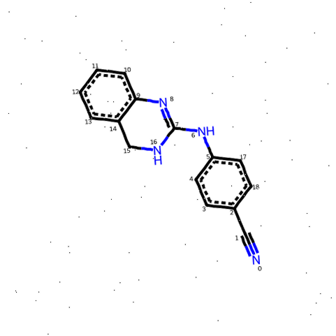 N#Cc1ccc(NC2=Nc3ccccc3CN2)cc1